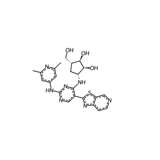 Cc1cc(Nc2ncc(-c3nc4ccncc4s3)c(N[C@@H]3C[C@H](CO)[C@@H](O)[C@H]3O)n2)cc(C)n1